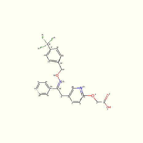 O=C(O)COc1ccc(CC(=NOCc2ccc(C(F)(F)F)cc2)c2ccccc2)cn1